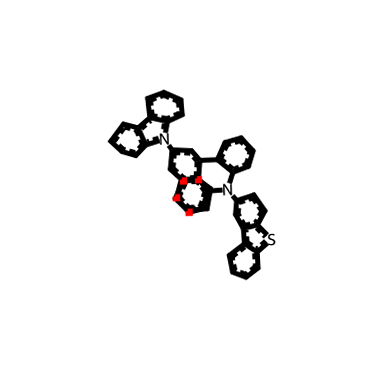 c1ccc(N(c2ccc3sc4ccccc4c3c2)c2ccccc2-c2cc(-n3c4ccccc4c4ccccc43)cc3ccccc23)cc1